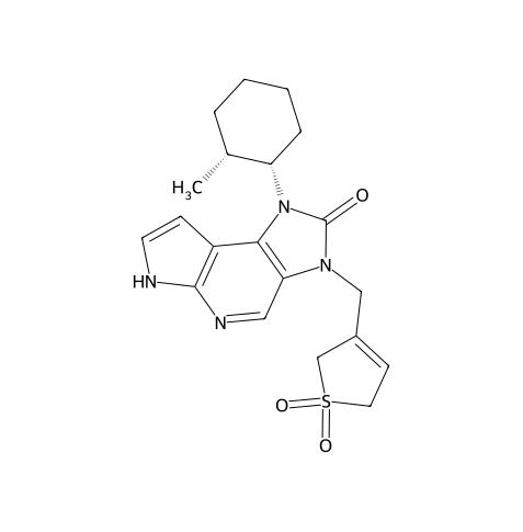 C[C@@H]1CCCC[C@@H]1n1c(=O)n(CC2=CCS(=O)(=O)C2)c2cnc3[nH]ccc3c21